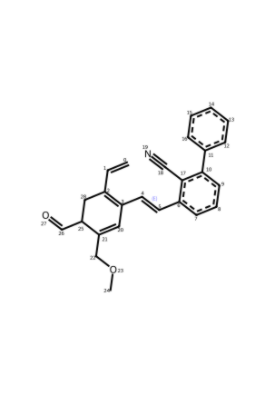 C=CC1=C(/C=C/c2cccc(-c3ccccc3)c2C#N)C=C(COC)C(C=O)C1